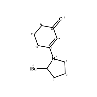 CC(C)(C)C1CCCN1C1=CC(=O)CCC1